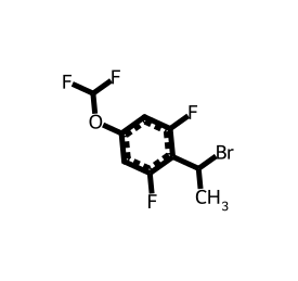 CC(Br)c1c(F)cc(OC(F)F)cc1F